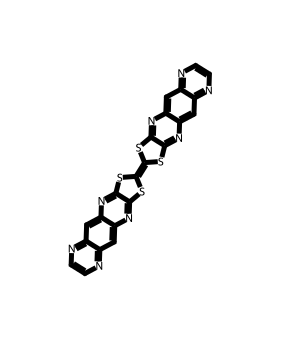 c1cnc2cc3nc4c(nc3cc2n1)SC(=C1Sc2nc3cc5nccnc5cc3nc2S1)S4